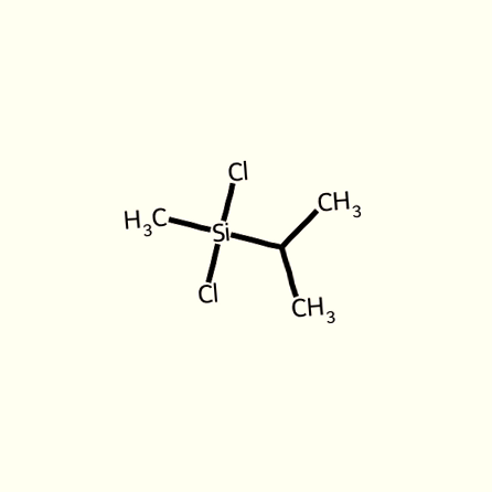 CC(C)[Si](C)(Cl)Cl